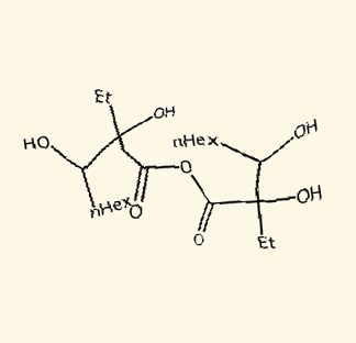 CCCCCCC(O)C(O)(CC)C(=O)OC(=O)C(O)(CC)C(O)CCCCCC